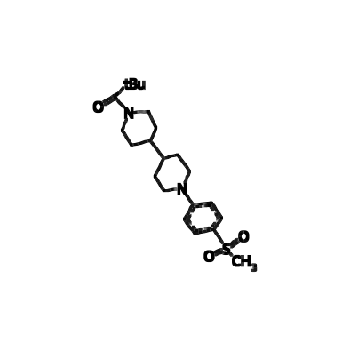 CC(C)(C)C(=O)N1CCC(C2CCN(c3ccc(S(C)(=O)=O)cc3)CC2)CC1